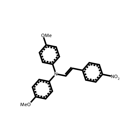 COc1ccc(N(C=Cc2ccc([N+](=O)[O-])cc2)c2ccc(OC)cc2)cc1